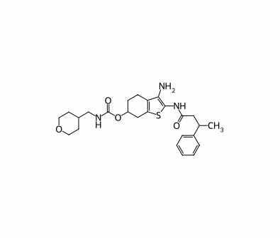 CC(CC(=O)Nc1sc2c(c1N)CCC(OC(=O)NCC1CCOCC1)C2)c1ccccc1